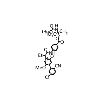 CCC(C(=O)Nc1ccc(C(=O)OCC(C)(NC(=O)OC(C)(C)C)C(=O)O)cc1)n1cc(OC)c(-c2cc(Cl)ccc2C#N)cc1=O